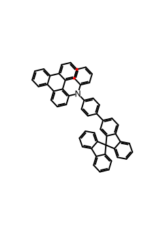 c1ccc(N(c2ccc(-c3ccc4c(c3)C3(c5ccccc5-c5ccccc53)c3ccccc3-4)cc2)c2cccc3c4ccccc4c4ccccc4c23)cc1